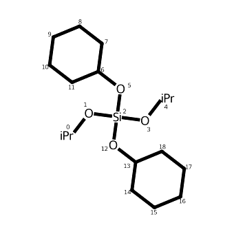 CC(C)O[Si](OC(C)C)(OC1CCCCC1)OC1CCCCC1